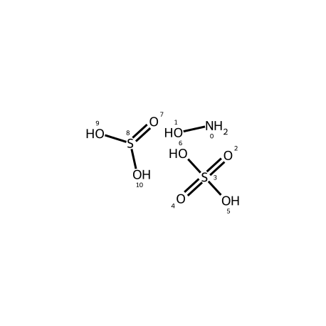 NO.O=S(=O)(O)O.O=S(O)O